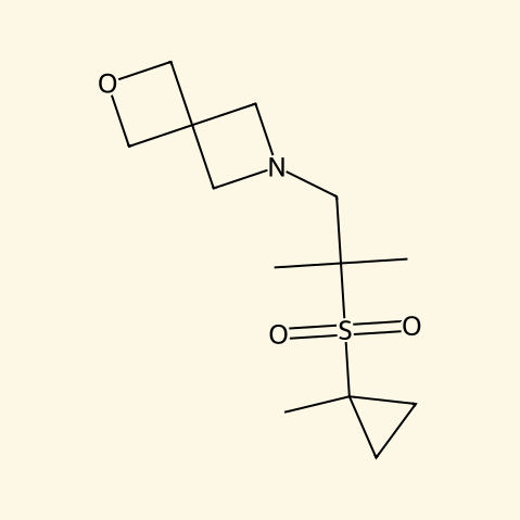 CC(C)(CN1CC2(COC2)C1)S(=O)(=O)C1(C)CC1